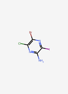 Nc1nc(Cl)c(Br)nc1I